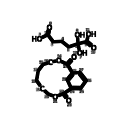 O=C(O)CCCC(O)(O)C(=O)O.O=C1OCCCCCCOC(=O)c2cccc1c2